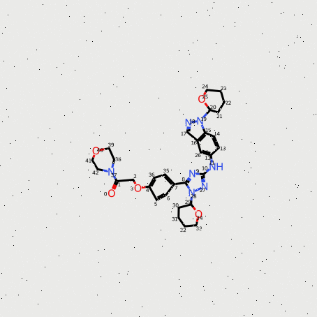 O=C(COc1ccc(-c2nc(Nc3ccc4c(cnn4C4CCCCO4)c3)nn2C2CCCCO2)cc1)N1CCOCC1